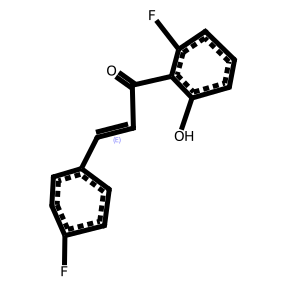 O=C(/C=C/c1ccc(F)cc1)c1c(O)cccc1F